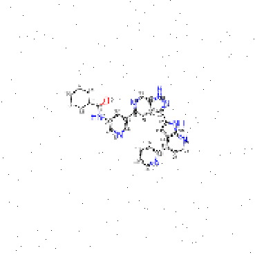 O=C(Nc1cncc(-c2cc3c(-c4cc5c(-c6ccccn6)ccnc5[nH]4)n[nH]c3cn2)c1)C1CCCCC1